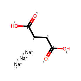 O=C(O)CCC(=O)O.[Na+].[Na+].[Na+]